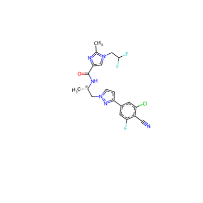 Cc1nc(C(=O)N[C@@H](C)Cn2ccc(-c3cc(F)c(C#N)c(Cl)c3)n2)cn1CC(F)F